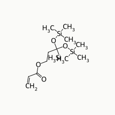 C=CC(=O)OCCC([SiH3])(O[Si](C)(C)C)O[Si](C)(C)C